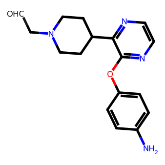 Nc1ccc(Oc2nccnc2C2CCN(CC=O)CC2)cc1